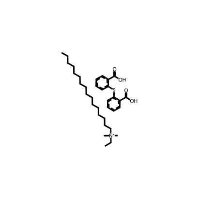 CCCCCCCCCCCCCCCC[N+](C)(C)CC.O=C(O)c1ccccc1Sc1ccccc1C(=O)O